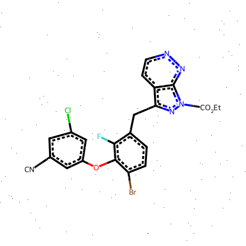 [C-]#[N+]c1cc(Cl)cc(Oc2c(Br)ccc(Cc3nn(C(=O)OCC)c4nnccc34)c2F)c1